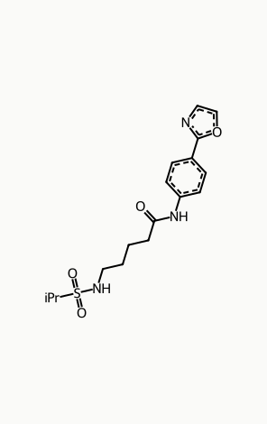 CC(C)S(=O)(=O)NCCCCC(=O)Nc1ccc(-c2ncco2)cc1